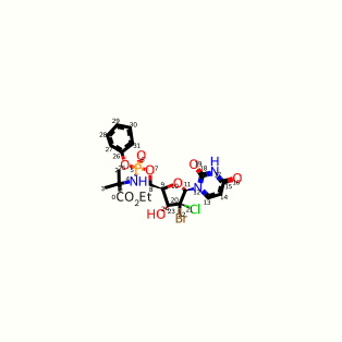 CCOC(=O)C(C)(C)NP(=O)(OC[C@H]1O[C@@H](n2ccc(=O)[nH]c2=O)[C@](Cl)(Br)[C@@H]1O)Oc1ccccc1